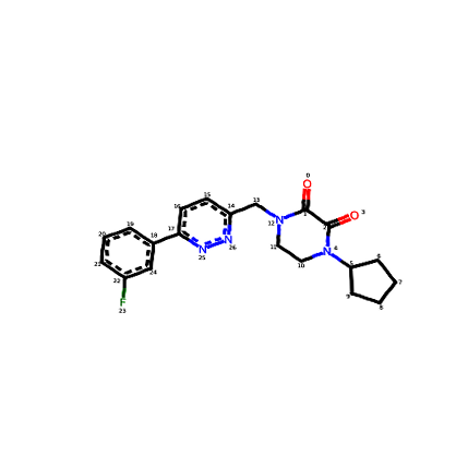 O=C1C(=O)N(C2CCCC2)CCN1Cc1ccc(-c2cccc(F)c2)nn1